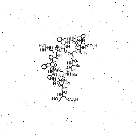 CC[C@H](C)[C@H](NC(=O)CNC(=O)CNC(=O)[C@H](C)NC(=O)[C@H](CCC(=O)O)NC(=O)[C@H](Cc1c[nH]cn1)NC(=O)CNC(=O)[C@H](Cc1ccccc1)NC(=O)[C@@H](NC(=O)[C@H](CCCNC(=N)N)NC(=O)[C@@H]1CCCN1C(=O)[C@H](Cc1ccccc1)NC(=O)[C@@H](NC(=O)[C@@H]1CCCN1)C(C)C)[C@@H](C)CC)C(=O)N[C@H](C(=O)N[C@@H](CCC(=O)O)C(=O)N[C@@H](CO)C(=O)N[C@H](C(=O)NCC(=O)N[C@@H](CCC(=O)O)C(=O)O)C(C)C)[C@@H](C)CC